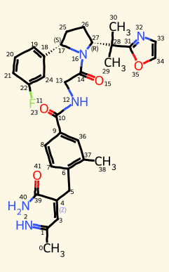 CC(=N)/C=C(/Cc1ccc(C(=O)NCC(=O)N2[C@H](c3cccc(F)c3)CC[C@@H]2C(C)(C)c2ncco2)cc1C)C(N)=O